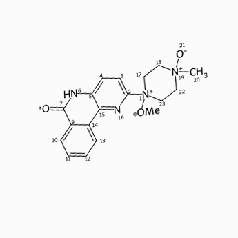 CO[N+]1(c2ccc3[nH]c(=O)c4ccccc4c3n2)CC[N+](C)([O-])CC1